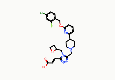 O=C(O)/C=C/c1nnc(CN2CCC(c3cccc(OCc4ccc(Cl)cc4F)n3)CC2)n1CC1CCO1